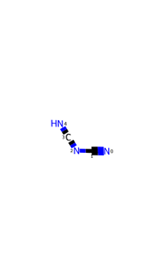 N#CN=C=N